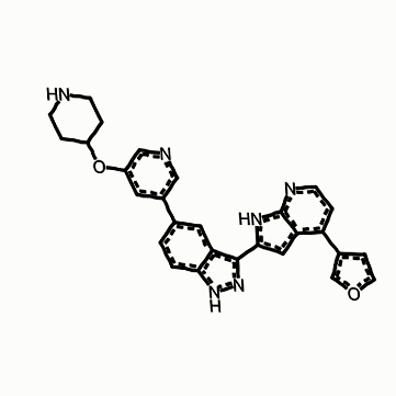 c1cc(-c2ccoc2)c2cc(-c3n[nH]c4ccc(-c5cncc(OC6CCNCC6)c5)cc34)[nH]c2n1